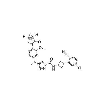 COc1cc(C(C)n2cc(C(=O)N[C@H]3C[C@@H](c4cc(Cl)ccc4C#N)C3)nn2)cnc1N1C[C@H]2C[C@H]2C1=O